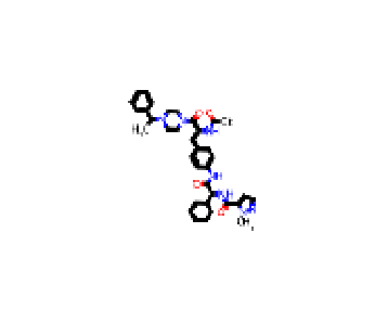 CCC(=O)NC(Cc1ccc(NC(=O)C(NC(=O)c2ccnn2C)C2CCCCC2)cc1)C(=O)N1CCN(C(C)c2ccccc2)CC1